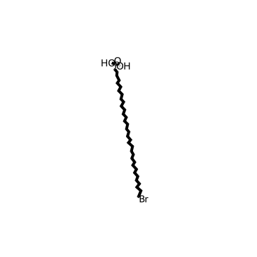 O=P(O)(O)CCCCCCCCCCCCCCCCCCCCCCCCCCCCCCCCCCCBr